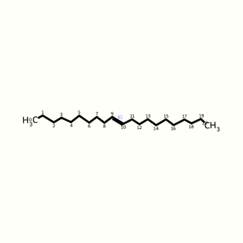 CCCCCCCCC/C=C/CCCCCCCCCC